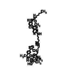 CCCCCCNC(=O)Nc1cc(-c2cc3cnc(NCCCCc4cn(CCCCCC(=O)NC(C(=O)N5C[C@H](O)C[C@H]5C(=O)NC(C)c5ccc(-c6scnc6C)cc5)C(C)(C)C)nn4)nc3nc2C)c(C)cc1F